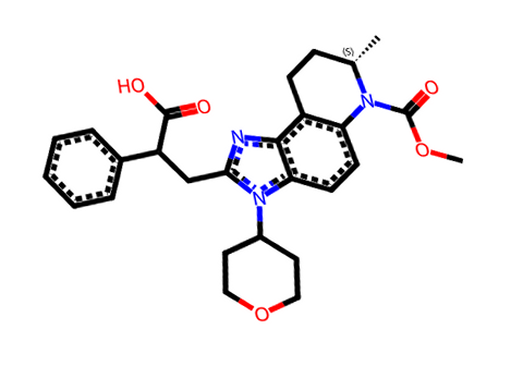 COC(=O)N1c2ccc3c(nc(CC(C(=O)O)c4ccccc4)n3C3CCOCC3)c2CC[C@@H]1C